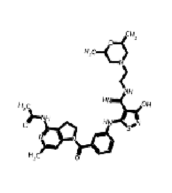 CC(=O)Nc1nc(C)cc2c1CCN2C(=O)c1cccc(Nc2snc(O)c2C(=N)NCCN2CC(C)OC(C)C2)c1